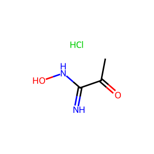 CC(=O)C(=N)NO.Cl